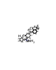 C=C1CN(C(=O)c2cccc(C(F)(F)F)c2Cl)CCN1/C(=N\N)N1CCCC1